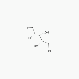 OC[C@H](O)[C@@H](O)[C@H](O)CI